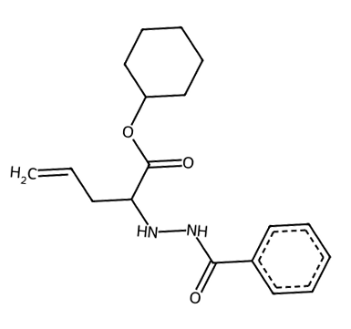 C=CCC(NNC(=O)c1ccccc1)C(=O)OC1CCCCC1